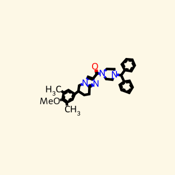 COc1c(C)cc(C2CCc3nc(C(=O)N4CCN(C(c5ccccc5)c5ccccc5)CC4)cn3C2)cc1C